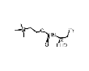 CC(C)C[C@@H]([C]=O)NC(=O)OCC[Si](C)(C)C